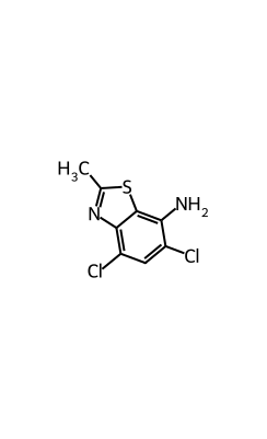 Cc1nc2c(Cl)cc(Cl)c(N)c2s1